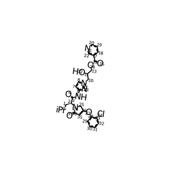 CC(C)C[C@@H](C(=O)Nc1ccn(C[C@@H](O)COC(=O)c2cccnc2)n1)N1CC(Oc2ccccc2Cl)=CC1=O